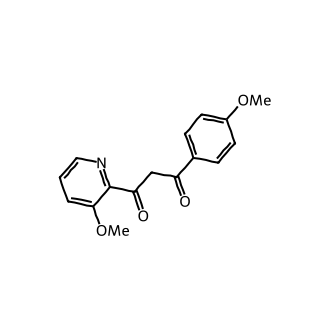 COc1ccc(C(=O)CC(=O)c2ncccc2OC)cc1